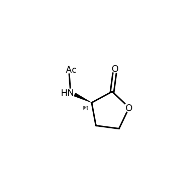 CC(=O)N[C@@H]1CCOC1=O